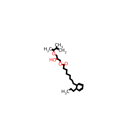 C=C(C)C(=C)OCC(O)COC(=O)CCCCCCCC1C=CC=CC1CCC